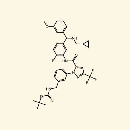 COc1cccc(C(NCC2CC2)c2ccc(F)c(NC(=O)c3cc(C(F)(F)F)nn3-c3cccc(CNC(=O)OC(C)(C)C)c3)c2)c1